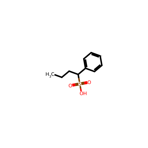 CCCC(c1cc[c]cc1)S(=O)(=O)O